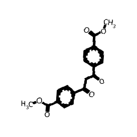 COC(=O)c1ccc(C(=O)CC(=O)c2ccc(C(=O)OC)cc2)cc1